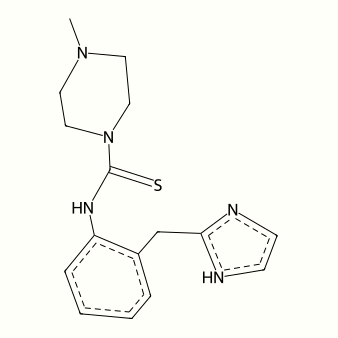 CN1CCN(C(=S)Nc2ccccc2Cc2ncc[nH]2)CC1